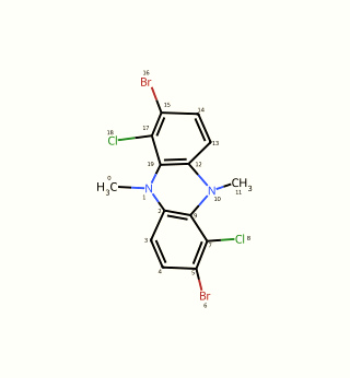 CN1c2ccc(Br)c(Cl)c2N(C)c2ccc(Br)c(Cl)c21